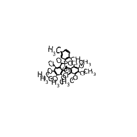 COc1c(Cl)c(C(=O)P(=O)(C(=O)c2c(Cl)c(OC)c(OC)c(OC)c2Cl)c2cc(C)ccc2C)c(Cl)c(OC)c1OC